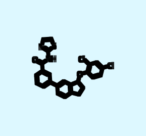 O=C(Nc1nccs1)c1cccc(-c2ccc3c(c2)C(Oc2ccc(Cl)cc2Cl)CC3)c1